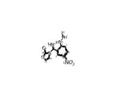 N=C(c1cc([N+](=O)[O-])ccc1NPI)n1ccoc1=O